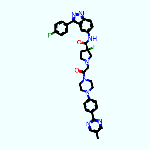 Cc1cnc(-c2ccc(N3CCN(C(=O)CN4CCC(F)(C(=O)Nc5ccc6[nH]nc(-c7ccc(F)cc7)c6c5)C4)CC3)cc2)nc1